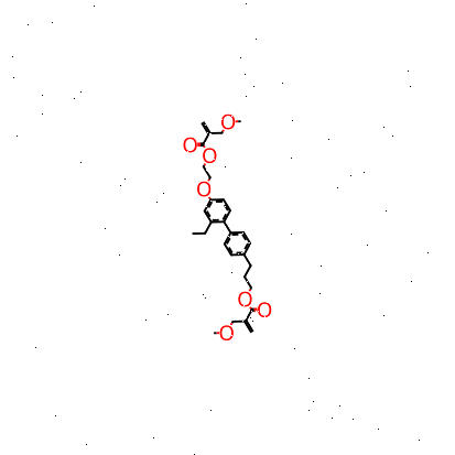 C=C(COC)C(=O)OCCCc1ccc(-c2ccc(OCCOC(=O)C(=C)COC)cc2CC)cc1